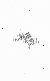 CCC[CH2][SnH]=[S].CCC[CH2][SnH]=[S].CCC[CH2][SnH]=[S].OP(O)OCCS.OP(O)OCCS.OP(O)OCCS